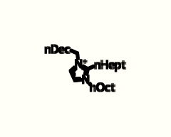 CCCCCCCCCCC[n+]1ccn(CCCCCCCC)c1CCCCCCC